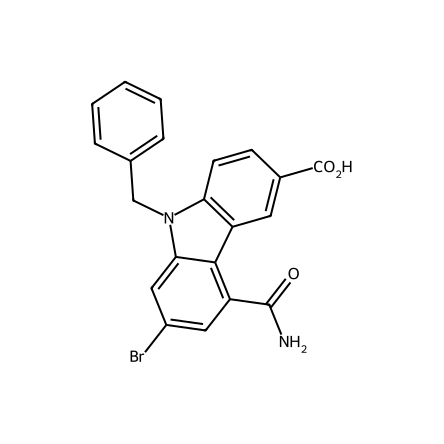 NC(=O)c1cc(Br)cc2c1c1cc(C(=O)O)ccc1n2Cc1ccccc1